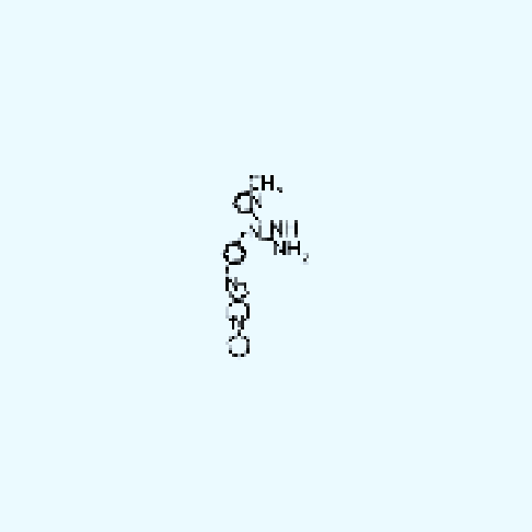 Cc1cccc(CN(CC(=N)N)Cc2ccc(CN3CCC4(CCN(C5CCCCC5)CC4)C3)cc2)n1